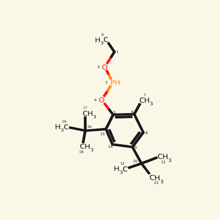 CCOPOc1c(C)cc(C(C)(C)C)cc1C(C)(C)C